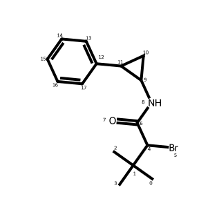 CC(C)(C)C(Br)C(=O)NC1CC1c1ccccc1